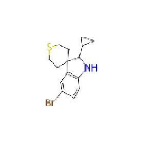 Brc1ccc2c(c1)C1(CCSCC1)C(C1CC1)N2